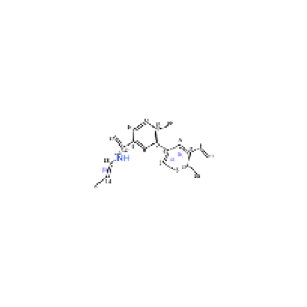 C=C/C(=C/C(=C\C)c1cc(C(=C)N/C=C/C)ccc1C)CC